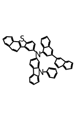 c1ccc(-n2c3ccccc3c3ccc(N(c4ccc5sc6c7ccccc7ccc6c5c4)c4cc(-c5ccc6ccccc6c5)cc5ccccc45)cc32)cc1